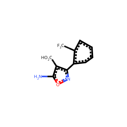 Nc1onc(-c2ccccc2C(F)(F)F)c1C(=O)O